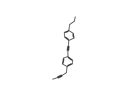 CC#CCc1ccc(C#Cc2ccc(CCC)cc2)cc1